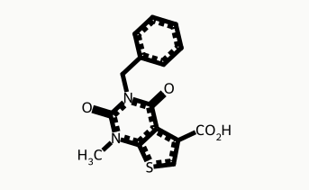 Cn1c(=O)n(Cc2ccccc2)c(=O)c2c(C(=O)O)csc21